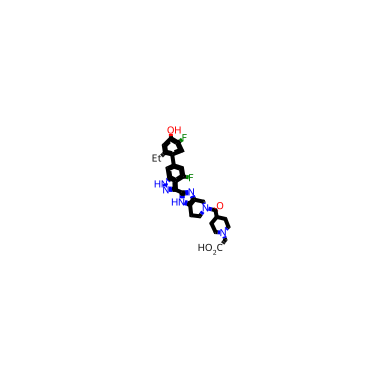 CCc1cc(O)c(F)cc1-c1cc(F)c2c(-c3nc4c([nH]3)CCN(C(=O)C3CCN(CC(=O)O)CC3)C4)n[nH]c2c1